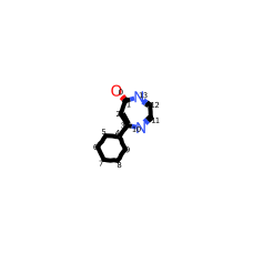 O=c1cc(C2CCCCC2)nccn1